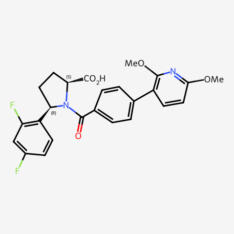 COc1ccc(-c2ccc(C(=O)N3[C@@H](c4ccc(F)cc4F)CC[C@H]3C(=O)O)cc2)c(OC)n1